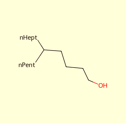 CCCCCCCC(CCCCC)CCCCO